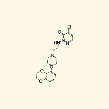 O=c1c(Cl)ccnn1NCCN1CCN(c2cccc3c2OCCO3)CC1